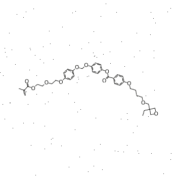 C=C(C)C(=O)OCCOCCOc1ccc(OCOc2ccc(OC(=O)c3ccc(OCCCCOCC4(CC)COC4)cc3)cc2)cc1